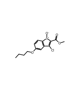 CCCCOc1ccc2c(c1)c(Cl)c(C(=O)OC)[s+]2[O-]